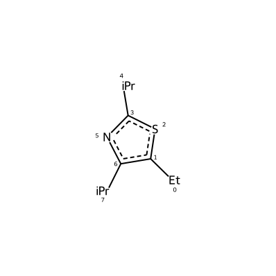 CCc1sc(C(C)C)nc1C(C)C